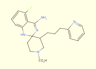 NC1=NC2(CCN(C(=O)O)CC2CCCc2ccccn2)Nc2cccc(F)c21